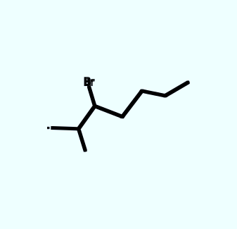 [CH2]C(C)C(Br)CCCC